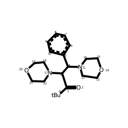 CC(C)(C)C(=O)C(C(c1ccccc1)N1CCOCC1)N1CCOCC1